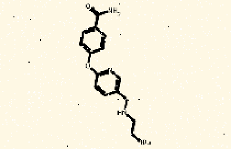 CC(C)(C)CCNCc1ccc(Oc2ccc(C(N)=O)cc2)nc1